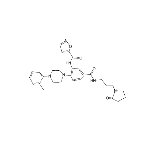 Cc1ccccc1N1CCN(c2ccc(C(=O)NCCCN3CCCC3=O)cc2NC(=O)c2ccno2)CC1